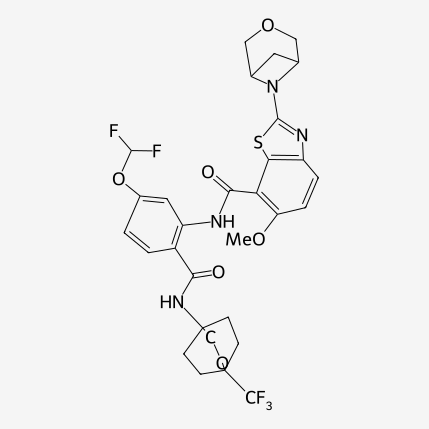 COc1ccc2nc(N3C4COCC3C4)sc2c1C(=O)Nc1cc(OC(F)F)ccc1C(=O)NC12CCC(C(F)(F)F)(CC1)OC2